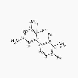 Nc1nc(N)c(F)c(-c2ccc(F)c(N)c2F)n1